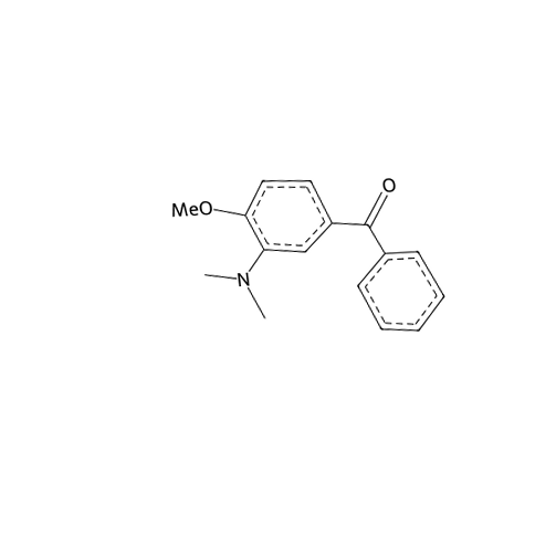 COc1ccc(C(=O)c2ccccc2)cc1N(C)C